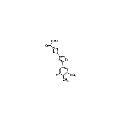 COC(=O)N1CC(c2coc(-c3cc(F)c(C)c([N+](=O)[O-])c3)n2)C1